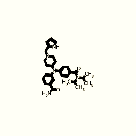 CC(C)N(C(=O)c1ccc(N(c2cccc(C(N)=O)c2)C2CCN(Cc3ccc[nH]3)CC2)cc1)C(C)C